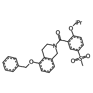 CC(C)Oc1ccc(S(C)(=O)=O)cc1C(=O)N1CCc2c(cccc2OCc2ccccc2)C1